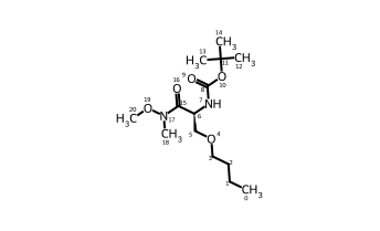 CCCCOC[C@H](NC(=O)OC(C)(C)C)C(=O)N(C)OC